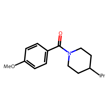 COc1ccc(C(=O)N2CCC(C(C)C)CC2)cc1